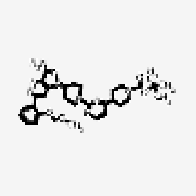 COCOc1ccccc1-c1cc2c(nn1)c(N)nn2C1CCN(c2nccc(C3CCN(C(=O)OC(C)(C)C)CC3)n2)CC1